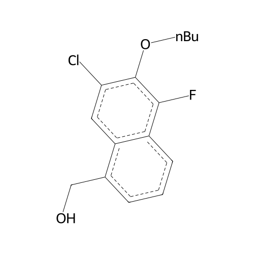 CCCCOc1c(Cl)cc2c(CO)cccc2c1F